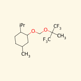 CC1CCC(C(C)C)C(OCOC(C)(C(F)(F)F)C(F)(F)F)C1